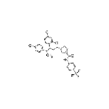 CC(c1ccc(Cl)cc1)C(CCC1CCN(C(=O)Nc2ccc(C(F)(F)F)cc2)C1)c1ccc(Cl)cc1Cl